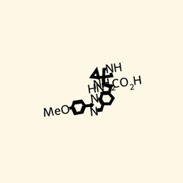 COc1ccc(-c2ncc3c(n2)-c2[nH]c(C4(C5(N)CC5)CNC4)c(C(=O)O)c2CC3)cc1